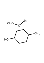 CC1CCC(O)CC1.CCOC=O